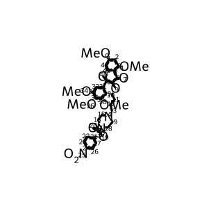 COc1cc(OC)c2c(=O)c(OCCCCN3CCN(S(=O)(=O)c4ccc([N+](=O)[O-])cc4)CC3)c(-c3cc(OC)c(OC)c(OC)c3)oc2c1